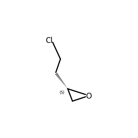 ClCC[C@H]1CO1